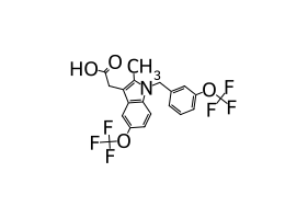 Cc1c(CC(=O)O)c2cc(OC(F)(F)F)ccc2n1Cc1cccc(OC(F)(F)F)c1